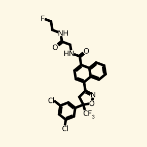 O=C(CNC(=O)c1ccc(C2=NOC(c3cc(Cl)cc(Cl)c3)(C(F)(F)F)C2)c2ccccc12)NCCF